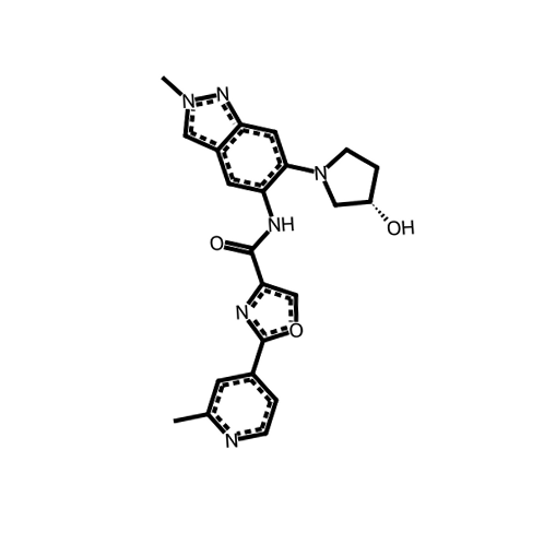 Cc1cc(-c2nc(C(=O)Nc3cc4cn(C)nc4cc3N3CC[C@H](O)C3)co2)ccn1